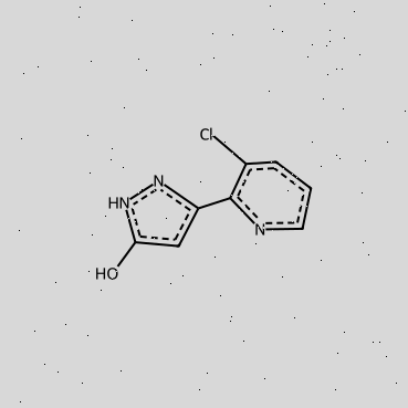 Oc1cc(-c2ncccc2Cl)n[nH]1